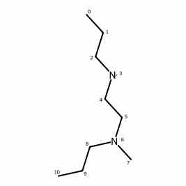 CCC[N]CCN(C)CCC